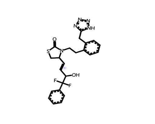 O=C1SCC(/C=C/C(O)C(F)(F)c2ccccc2)N1CCc1ccccc1Cc1nnn[nH]1